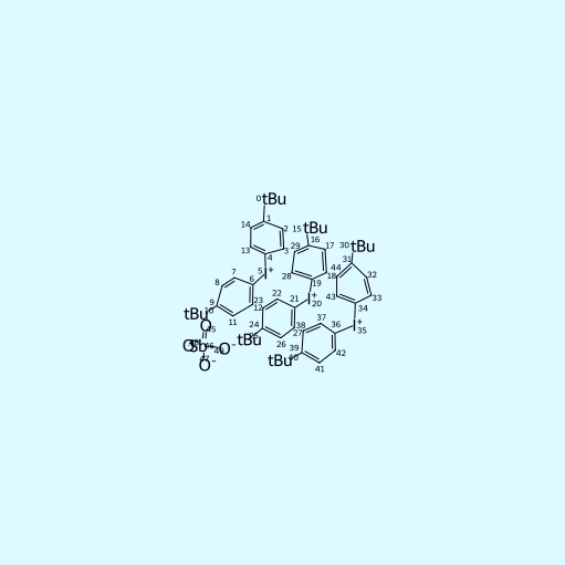 CC(C)(C)c1ccc([I+]c2ccc(C(C)(C)C)cc2)cc1.CC(C)(C)c1ccc([I+]c2ccc(C(C)(C)C)cc2)cc1.CC(C)(C)c1ccc([I+]c2ccc(C(C)(C)C)cc2)cc1.[O]=[Sb]([O-])([O-])[O-]